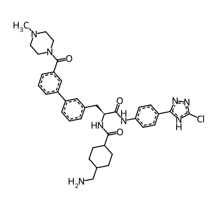 CN1CCN(C(=O)c2cccc(-c3cccc(C[C@H](NC(=O)C4CCC(CN)CC4)C(=O)Nc4ccc(-c5nnc(Cl)[nH]5)cc4)c3)c2)CC1